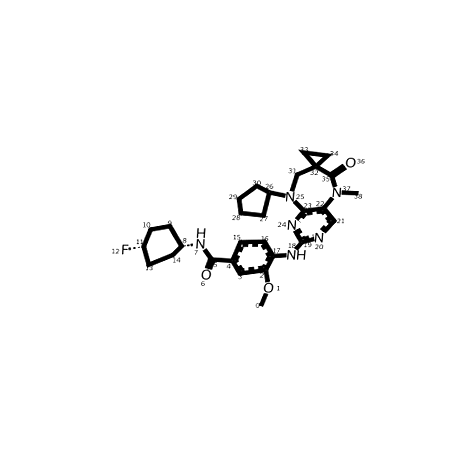 COc1cc(C(=O)N[C@H]2CC[C@@H](F)CC2)ccc1Nc1ncc2c(n1)N(C1CCCC1)CC1(CC1)C(=O)N2C